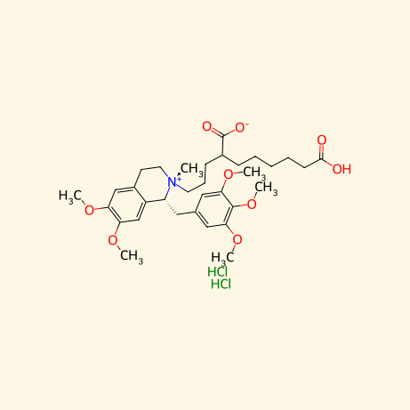 COc1cc2c(cc1OC)[C@@H](Cc1cc(OC)c(OC)c(OC)c1)[N@@+](C)(CCCC(CCCCCC(=O)O)C(=O)[O-])CC2.Cl.Cl